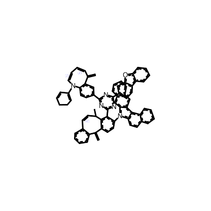 C=C1/C=C\C=C/N(C2=CCCC=C2)c2ccc(-c3nc(-c4ccc5c(c4)oc4ccccc45)nc(-c4c(-n5c6cc7ccccc7cc6c6c7ccccc7ccc65)ccc5c4C(C)/C=C\c4ccccc4C5=C)n3)cc21